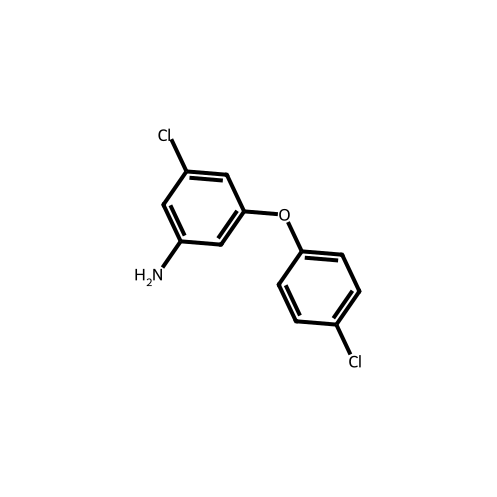 Nc1cc(Cl)cc(Oc2ccc(Cl)cc2)c1